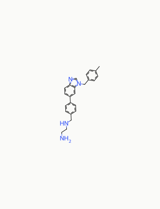 Cc1ccc(Cn2cnc3ccc(-c4ccc(CNCCN)cc4)cc32)cc1